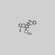 N#Cc1ccccc1Cn1c(N2CCC[C@@H](N)C2)nc2c(ncn2Cc2ccccc2C#N)c1=O